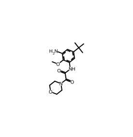 COc1c(N)cc(C(C)(C)C)cc1NC(=O)C(=O)N1CCOCC1